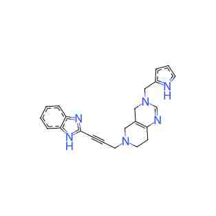 C(#Cc1nc2ccccc2[nH]1)CN1CCC2=C(CN(Cc3ccc[nH]3)C=N2)C1